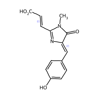 CN1C(=O)/C(=C/c2ccc(O)cc2)N=C1/C=C/C(=O)O